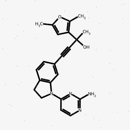 Cc1cc(C(C)(O)C#Cc2ccc3c(c2)N(c2ccnc(N)n2)CC3)c(C)o1